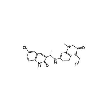 CC(C)CN1C(=O)CN(C)c2cc(N[C@@H](C)c3cc4cc(Cl)ccc4[nH]c3=O)ccc21